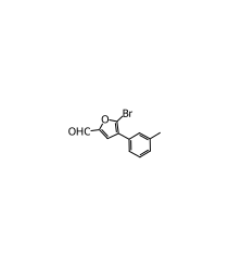 Cc1cccc(-c2cc(C=O)oc2Br)c1